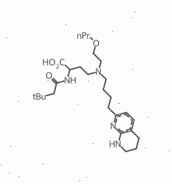 CCCOCCN(CCCCc1ccc2c(n1)NCCC2)CCC(NC(=O)CC(C)(C)C)C(=O)O